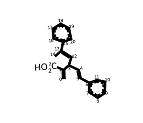 C=C(C(=O)O)C(C=Cc1ccccc1)C=C(C)c1ccccc1